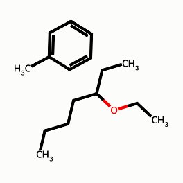 CCCCC(CC)OCC.Cc1ccccc1